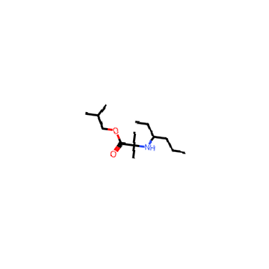 CCCC(CC)NC(C)(C)C(=O)OCC(C)C